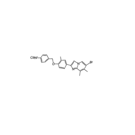 [C-]#[N+]c1ccc(COc2ccc(-c3cn4cc(Br)c(C)c(C)c4n3)cc2C)cc1